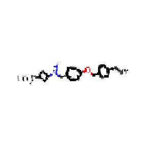 CC(C)Cc1ccc(COc2ccc(CNC3CC(C(=O)O)C3)cc2)cc1